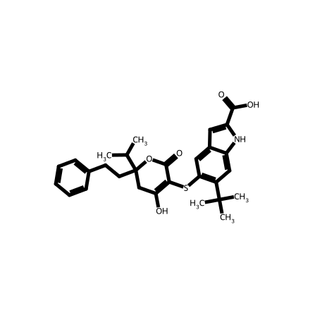 CC(C)C1(CCc2ccccc2)CC(O)=C(Sc2cc3cc(C(=O)O)[nH]c3cc2C(C)(C)C)C(=O)O1